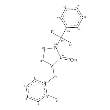 Cc1ccccc1CC1CCN(C(C)(C)c2ccccc2)C1=O